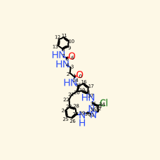 O=C(CCNC(=O)Nc1ccccc1)Nc1ccc2cc1CCc1cccc(c1)Nc1ncc(Cl)c(n1)N2